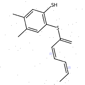 C=C(/C=C\C=C/C)Sc1cc(C)c(C)cc1S